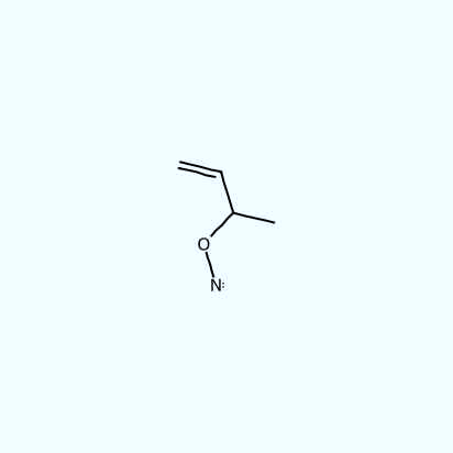 C=CC(C)O[N]